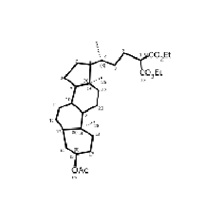 CCOC(=O)C(CC[C@@H](C)C1CCC2C3CCC4C[C@H](OC(C)=O)CC[C@]4(C)C3CC[C@@]21C)C(=O)OCC